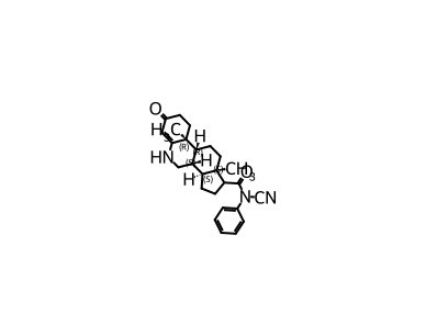 C[C@]12CCC(=O)C=C1NC[C@@H]1[C@H]2CC[C@]2(C)C(C(=O)N(C#N)c3ccccc3)CC[C@@H]12